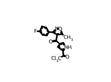 Cc1onc(-c2ccc(F)cc2)c1C(=O)c1c[nH]c(C(=O)C(Cl)(Cl)Cl)c1